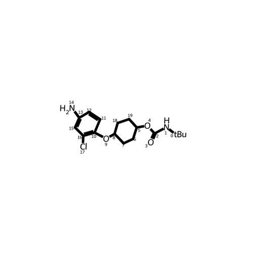 CC(C)(C)NC(=O)OC1CCC(Oc2ccc(N)cc2Cl)CC1